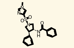 Cn1cnc(S(=O)(=O)N2C[C@H](NC(=O)c3ccccc3)[C@@H](c3ccccc3)C2)c1